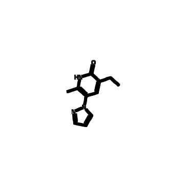 CCc1cc(-n2cccn2)c(C)[nH]c1=O